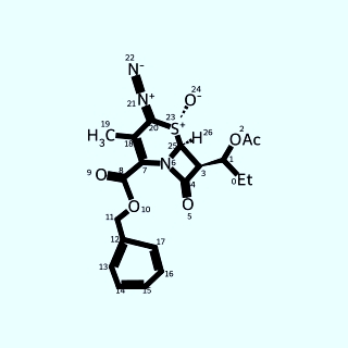 CCC(OC(C)=O)[C@H]1C(=O)N2C(C(=O)OCc3ccccc3)=C(C)C(=[N+]=[N-])[S@+]([O-])[C@@H]12